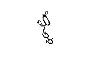 CON=C(CCN1CC=C(c2ncccc2C)CC1)c1ccc(Cl)cc1